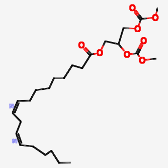 CCCCC/C=C\C/C=C\CCCCCCCC(=O)OCC(COC(=O)OC)OC(=O)OC